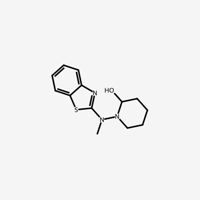 CN(c1nc2ccccc2s1)N1CCCCC1O